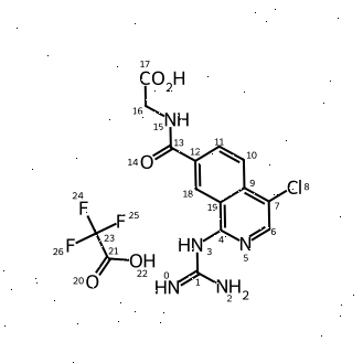 N=C(N)Nc1ncc(Cl)c2ccc(C(=O)NCC(=O)O)cc12.O=C(O)C(F)(F)F